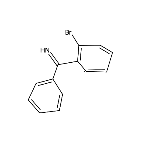 N=C(c1ccccc1)c1[c]cccc1Br